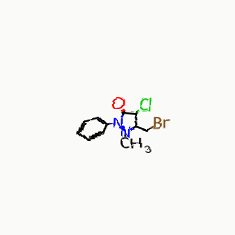 CN1C(CBr)C(Cl)C(=O)N1c1ccccc1